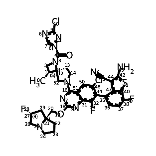 C[C@H]1CN(C(=O)n2cnc(Cl)n2)[C@]12CCN(c1nc(OC[C@@]34CCCN3C[C@H](F)C4)nc3c(F)c(-c4ccc(F)c5sc(N)c(C#N)c45)c(Cl)cc13)C2